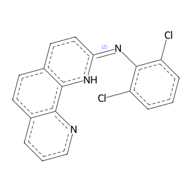 Clc1cccc(Cl)c1/N=c1/ccc2ccc3cccnc3c2[nH]1